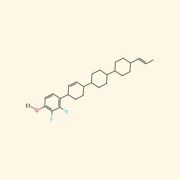 C/C=C/C1CCC(C2CCC(C3C=CC(c4ccc(OCC)c(F)c4F)CC3)CC2)CC1